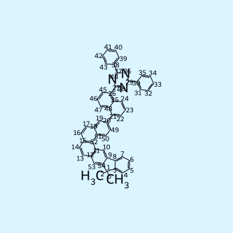 CC1(C)c2ccccc2-c2cc3c(ccc4ccc5cc(-c6cccc7c(-c8nc(-c9ccccc9)nc(-c9ccccc9)n8)cccc67)ccc5c43)cc21